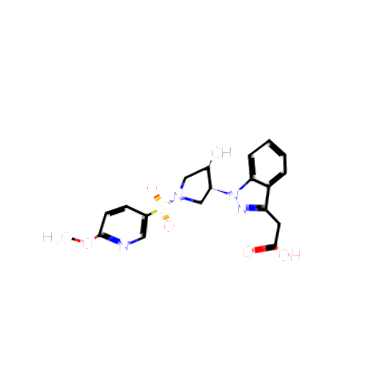 COc1ccc(S(=O)(=O)N2C[C@@H](C)[C@@H](n3nc(CC(=O)O)c4ccccc43)C2)cn1